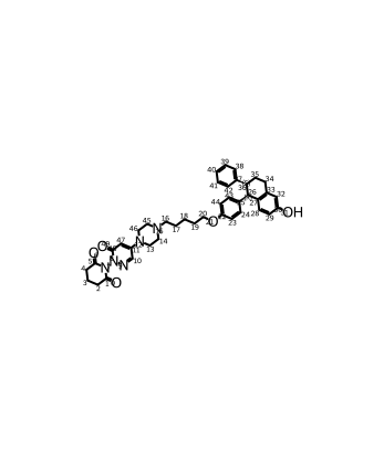 O=C1CCCC(=O)N1n1ncc(N2CCN(CCCCCOc3ccc([C@@H]4c5ccc(O)cc5CC[C@@H]4c4ccccc4)cc3)CC2)cc1=O